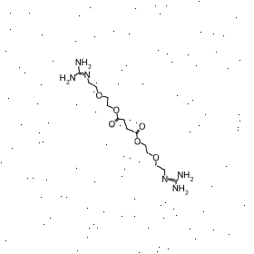 NC(N)=NCCOCCOC(=O)CCC(=O)OCCOCCN=C(N)N